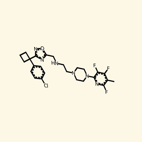 Cc1c(F)nc(N2CCN(CCNCc3nc(C4(c5ccc(Cl)cc5)CCC4)no3)CC2)c(F)c1F